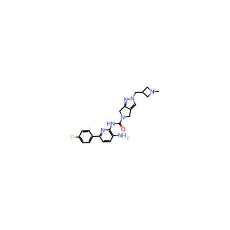 CN1CC(Cn2cc3c(n2)CN(C(=O)Nc2nc(-c4ccc(F)cc4)ccc2N)C3)C1